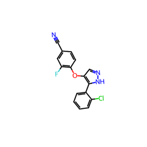 N#Cc1ccc(Oc2cn[nH]c2-c2ccccc2Cl)c(F)c1